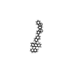 c1ccc2c(-c3c4ccccc4c(-c4ccc5cc(-c6ccc7c(c6)oc6cc8oc9ccccc9c8cc67)ccc5c4)c4ccccc34)cccc2c1